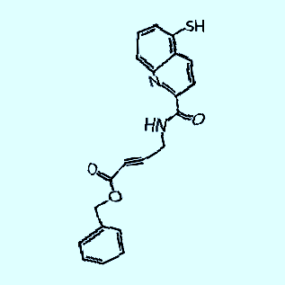 O=C(C#CCNC(=O)c1ccc2c(S)cccc2n1)OCc1ccccc1